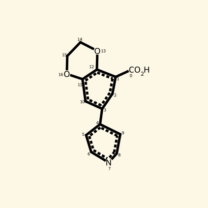 O=C(O)c1cc(-c2ccncc2)cc2c1OCCO2